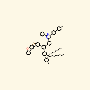 CCCCCCCCC1(CCCCCCCC)c2cc(C)ccc2-c2ccc(-c3cc(-c4cccc(-c5cc(-c6ccc(-c7ccc(C)cc7)cc6)nc(-c6ccccc6)n5)c4)cc(-c4ccc5sc6cc7oc8ccccc8c7cc6c5c4)c3)cc21